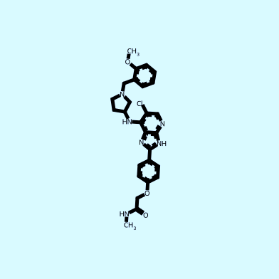 CNC(=O)COc1ccc(-c2nc3c(NC4CCN(Cc5ccccc5OC)C4)c(Cl)cnc3[nH]2)cc1